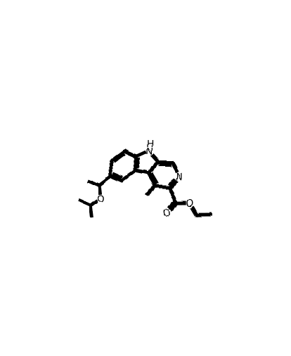 CCOC(=O)c1ncc2[nH]c3ccc(C(C)OC(C)C)cc3c2c1C